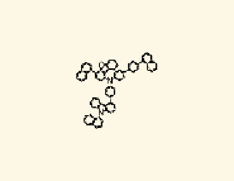 c1ccc2c(-c3ccc(-c4ccc(N(c5ccc(-c6cccc7c6c6ccccc6n7-c6cccc7ccccc67)cc5)c5ccc(-c6cccc7ccccc67)c6oc7ccccc7c56)cc4)cc3)cccc2c1